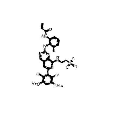 C=CC(=O)Nc1cccc(C)c1Nc1ncc2cc(-c3c(Cl)c(OC)cc(OC)c3Cl)nc(NCCS(=O)(=O)CC)c2n1